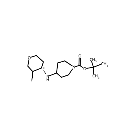 CC(C)(C)OC(=O)N1CCC(N[C@H]2CCOCC2F)CC1